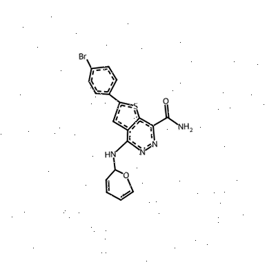 NC(=O)c1nnc(NC2C=CC=CO2)c2cc(-c3ccc(Br)cc3)sc12